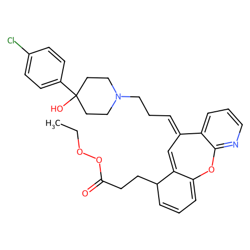 CCOOC(=O)CCC1C=CC=C2Oc3ncccc3C(=CCCN3CCC(O)(c4ccc(Cl)cc4)CC3)C=C21